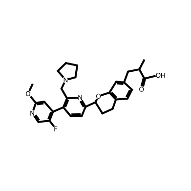 COc1cc(-c2ccc(C3CCc4ccc(CC(C)C(=O)O)cc4O3)nc2CN2CCCC2)c(F)cn1